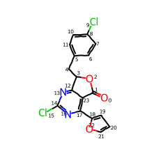 O=C1OC(Cc2ccc(Cl)cc2)c2nc(Cl)nc(-c3ccco3)c21